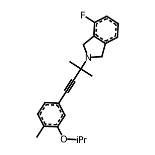 Cc1ccc(C#CC(C)(C)N2Cc3cccc(F)c3C2)cc1OC(C)C